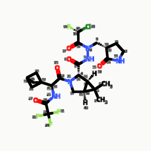 CC1(C)[C@@H]2[C@@H](C(=O)NN(C[C@@H]3CCNC3=O)C(=O)[C@H](F)Cl)N(C(=O)[C@@H](NC(=O)C(F)(F)F)C34CC(C3)C4)C[C@@H]21